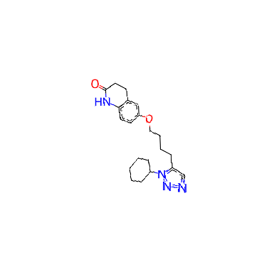 O=C1CCc2cc(OCCCCc3cnnn3C3CCCCC3)ccc2N1